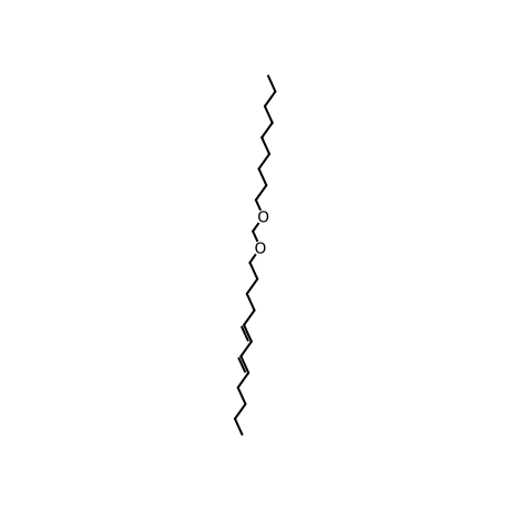 CCCCC=CC=CCCCCOCOCCCCCCCCC